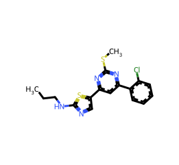 CCCNc1ncc(-c2cc(-c3ccccc3Cl)nc(SC)n2)s1